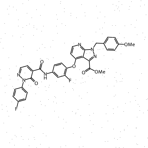 COC(=O)c1nn(Cc2ccc(OC)cc2)c2nccc(Oc3ccc(NC(=O)c4ccnn(-c5ccc(F)cc5)c4=O)cc3F)c12